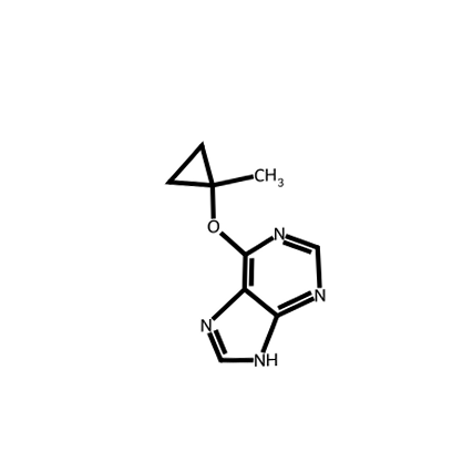 CC1(Oc2ncnc3[nH]cnc23)CC1